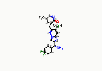 N[C@H](c1cn2nc(C[C@@]3(C(=O)O)C[C@@H](C(F)(F)F)CNC3=O)c(Cl)cc2n1)C1CCC(F)(F)CC1